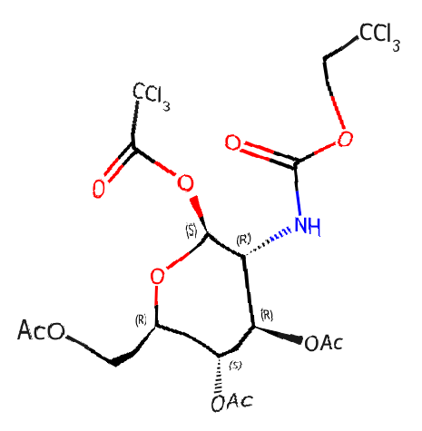 CC(=O)OC[C@H]1O[C@@H](OC(=O)C(Cl)(Cl)Cl)[C@H](NC(=O)OCC(Cl)(Cl)Cl)[C@@H](OC(C)=O)[C@@H]1OC(C)=O